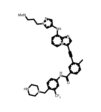 CNCCCn1cc(Nc2cccn3c(C#Cc4cc(C(=O)Nc5ccc(CN6CCNCC6)c(C(F)(F)F)c5)ccc4C)cnc23)cn1